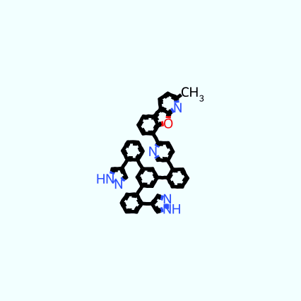 Cc1ccc2c(n1)oc1c(-c3ccc(-c4ccccc4-c4cc(-c5ccccc5-c5cn[nH]c5)cc(-c5ccccc5-c5cn[nH]c5)c4)cn3)cccc12